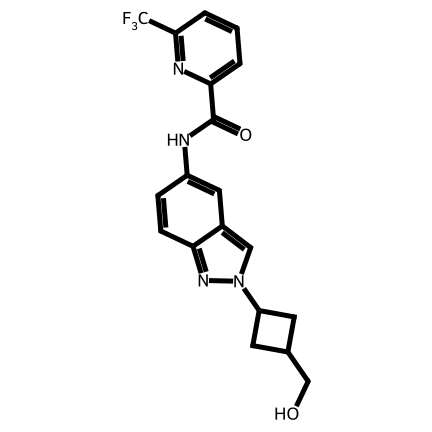 O=C(Nc1ccc2nn(C3CC(CO)C3)cc2c1)c1cccc(C(F)(F)F)n1